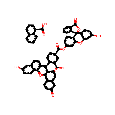 O=C(O)c1cccc2ccccc12.O=C(Oc1ccc2c(c1)Oc1cc(O)ccc1C21OC(=O)c2ccccc21)c1ccc(-c2c3ccc4cc(O)ccc4c3oc3c2ccc2cc(=O)ccc23)c(C(=O)O)c1